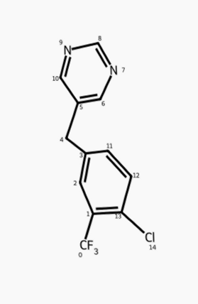 FC(F)(F)c1cc(Cc2cncnc2)ccc1Cl